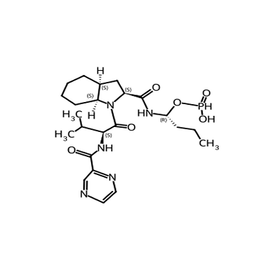 CCC[C@H](NC(=O)[C@@H]1C[C@@H]2CCCC[C@@H]2N1C(=O)[C@@H](NC(=O)c1cnccn1)C(C)C)O[PH](=O)O